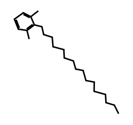 CCCCCCCCCCCCCCCCc1c(C)cccc1C